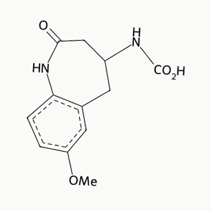 COc1ccc2c(c1)CC(NC(=O)O)CC(=O)N2